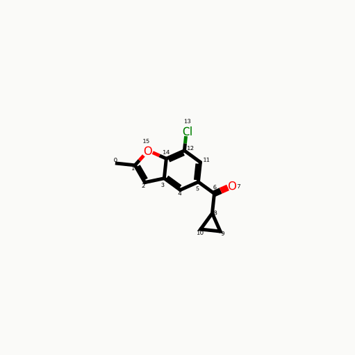 Cc1cc2cc(C(=O)C3CC3)cc(Cl)c2o1